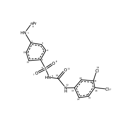 CCCNc1ccc(S(=O)(=O)NC(=O)Nc2ccc(Cl)c(Cl)c2)cc1